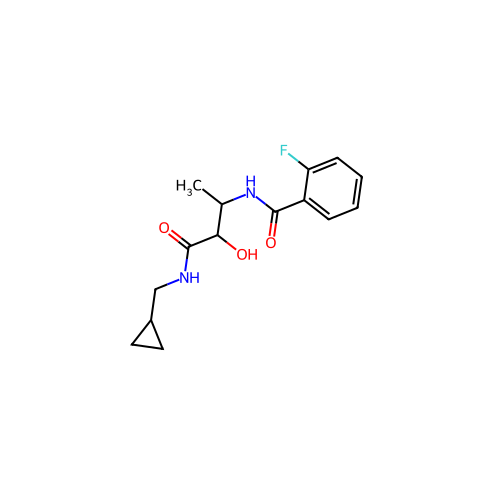 CC(NC(=O)c1ccccc1F)C(O)C(=O)NCC1CC1